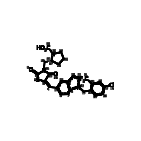 O=C1SC(=Cc2ccc3c(cnn3Cc3ccc(Cl)cc3C(F)(F)F)c2)C(=O)N1C[C@H]1CCCN1C(=O)O